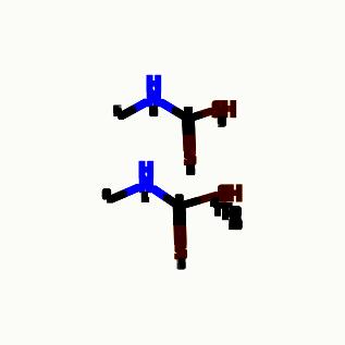 CNC(=S)S.CNC(=S)S.[Te]